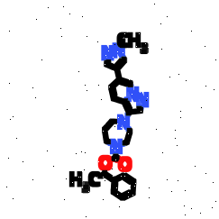 CC(OC(=O)N1CCCN(c2cnn3cc(-c4cnn(C)c4)ccc23)CC1)c1ccccc1